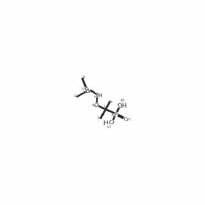 CB(C)BOC(C)(C)P(=O)(O)O